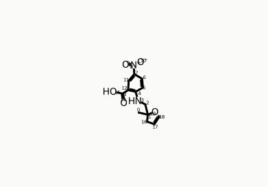 CC1(CNc2ccc([N+](=O)[O-])cc2C(=O)O)CC=CO1